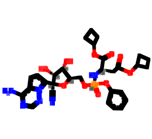 N#C[C@@]1(c2ccc3c(N)ncnn23)O[C@H](CO[P@](=O)(N[C@@H](CC(=O)OC2CCC2)C(=O)OC2CCC2)Oc2ccccc2)[C@@H](O)[C@H]1O